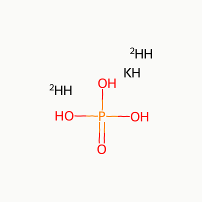 O=P(O)(O)O.[2HH].[2HH].[KH]